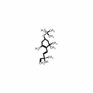 C=C[C@@](C)(O)/C=C/C1=C(C)CC(O[Si](C)(C)C)CC1(C)C